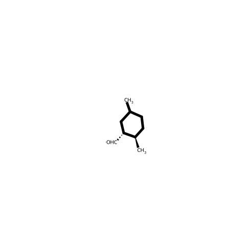 CC1CC[C@@H](C)[C@H]([C]=O)C1